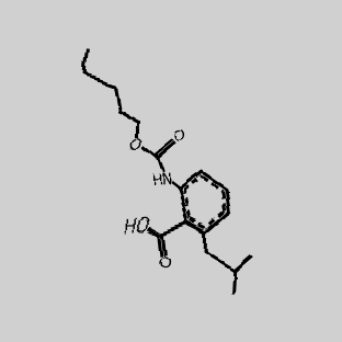 CCCCCOC(=O)Nc1cccc(CC(C)C)c1C(=O)O